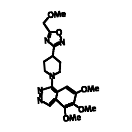 COCc1nc(C2CCN(c3nncc4c(OC)c(OC)c(OC)cc34)CC2)no1